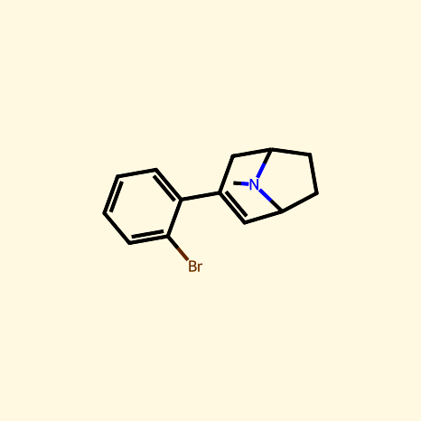 CN1C2C=C(c3ccccc3Br)CC1CC2